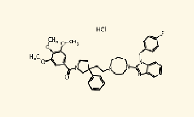 COc1cc(C(=O)N2CCC(CCN3CCCN(c4nc5ccccc5n4Cc4ccc(F)cc4)CC3)(c3ccccc3)C2)cc(OC)c1OC.Cl